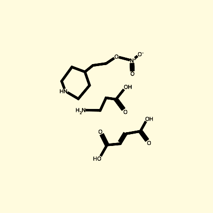 NCCC(=O)O.O=C(O)C=CC(=O)O.O=[N+]([O-])OCCC1CCNCC1